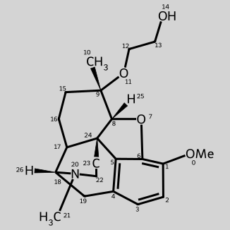 COc1ccc2c3c1O[C@H]1[C@@](C)(OCCO)CCC4[C@@H](C2)N(C)CC[C@@]341